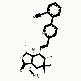 C[C@H]1OC(=O)[C@]2(CN)CC(F)(F)[C@@H](C)[C@H](/C=C/c3ccc(-c4ccccc4C#N)cn3)[C@H]12